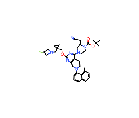 Cc1cccc2cccc(N3CCc4c(nc(OCC5(CN6CC(F)C6)CC5)nc4N4CCN(C(=O)OC(C)(C)C)C(CC#N)C4)C3)c12